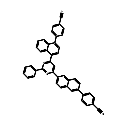 N#Cc1ccc(-c2ccc3cc(-c4cc(-c5ccc(-c6ccc(C#N)cc6)c6ccccc56)nc(-c5ccccc5)n4)ccc3c2)cc1